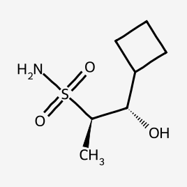 C[C@H]([C@@H](O)C1CCC1)S(N)(=O)=O